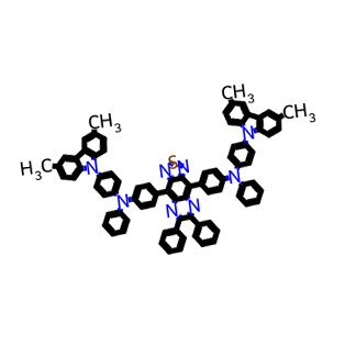 Cc1ccc2c(c1)c1cc(C)ccc1n2-c1ccc(N(c2ccccc2)c2ccc(-c3c4nsnc4c(-c4ccc(N(c5ccccc5)c5ccc(-n6c7ccc(C)cc7c7cc(C)ccc76)cc5)cc4)c4nc(-c5ccccc5)c(-c5ccccc5)nc34)cc2)cc1